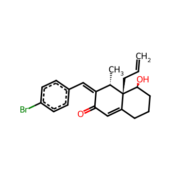 C=CC[C@@]12C(=CC(=O)C(=Cc3ccc(Br)cc3)[C@@H]1C)CCC[C@@H]2O